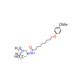 COc1ccc(OCCCCCCCCC(=O)N[C@H](CC(=O)O)CN(C)C)cc1